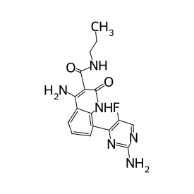 CCCNC(=O)c1c(N)c2cccc(-c3nc(N)ncc3F)c2[nH]c1=O